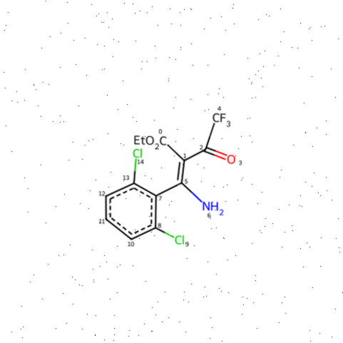 CCOC(=O)/C(C(=O)C(F)(F)F)=C(/N)c1c(Cl)cccc1Cl